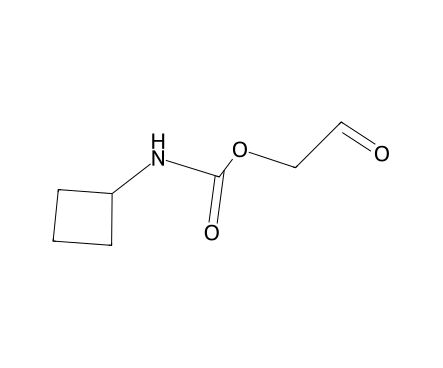 O=CCOC(=O)NC1CCC1